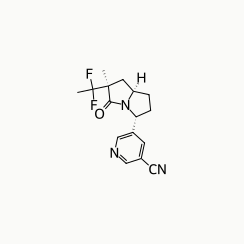 CC(F)(F)[C@@]1(C)C[C@H]2CC[C@H](c3cncc(C#N)c3)N2C1=O